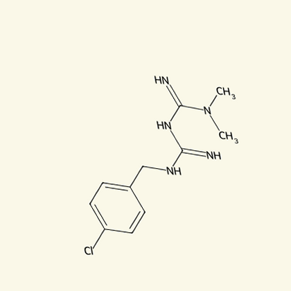 CN(C)C(=N)NC(=N)NCc1ccc(Cl)cc1